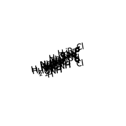 CC(C)CCN(c1nc(-c2ccc(Cl)cc2)cc(-c2ccc(Cl)cc2)n1)C(O)C(=O)NC(C(=O)NC(NC(=N)N)C(=O)NC(NC(=N)N)C(=O)NC(NC(=N)N)C(=O)NC(NC(=N)N)C(N)=O)c1ccccc1